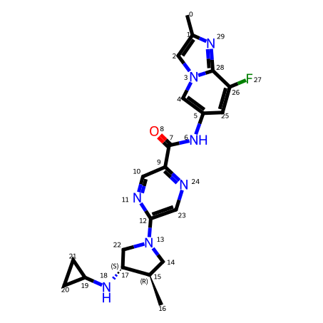 Cc1cn2cc(NC(=O)c3cnc(N4C[C@@H](C)[C@H](NC5CC5)C4)cn3)cc(F)c2n1